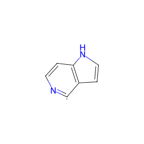 [c]1nccc2[nH]ccc12